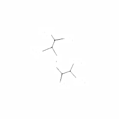 CC(C)C(C)OOC(C)C(C)C